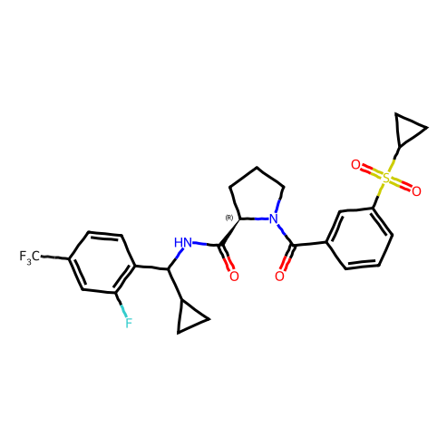 O=C(NC(c1ccc(C(F)(F)F)cc1F)C1CC1)[C@H]1CCCN1C(=O)c1cccc(S(=O)(=O)C2CC2)c1